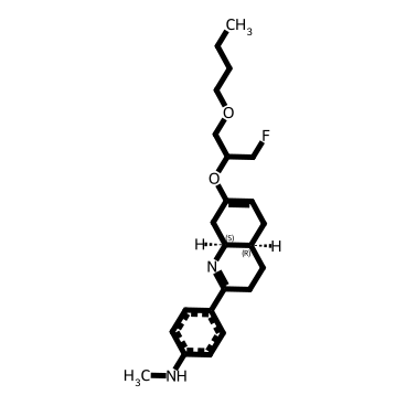 CCCCOCC(CF)OC1=CC[C@H]2CCC(c3ccc(NC)cc3)=N[C@H]2C1